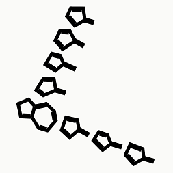 C1=CC=C2CCC=C2C=C1.C=C1C=CC=C1.C=C1C=CC=C1.C=C1C=CC=C1.C=C1C=CC=C1.C=C1C=CC=C1.C=C1C=CC=C1.C=C1C=CC=C1